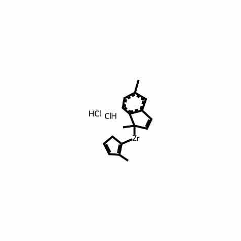 CC1=[C]([Zr][C]2(C)C=Cc3cc(C)ccc32)CC=C1.Cl.Cl